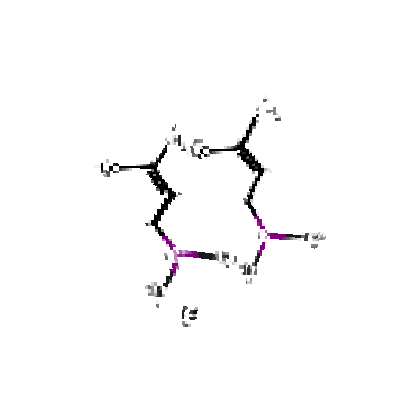 CC(C)=CCP(C(C)(C)C)C(C)(C)C.CC(C)=CCP(C(C)(C)C)C(C)(C)C.[Pd]